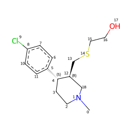 CN1CC[C@H](c2ccc(Cl)cc2)[C@@H](CSCCO)C1